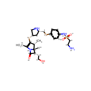 C[C@H]1C(S[C@@H]2CN[C@H](CSc3ccc(NS(=O)(=O)CCN)cc3)C2)=C(C(=O)O)N2C(=O)[C@@H](CCO)[C@@H]12